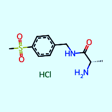 C[C@H](N)C(=O)NCc1ccc(S(C)(=O)=O)cc1.Cl